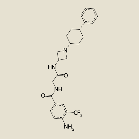 Nc1ccc(C(=O)NCC(=O)NC2CN([C@H]3CC[C@@H](c4ccccc4)CC3)C2)cc1C(F)(F)F